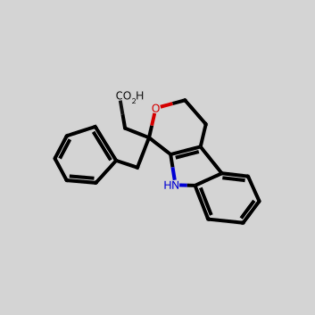 O=C(O)CC1(Cc2ccccc2)OCCc2c1[nH]c1ccccc21